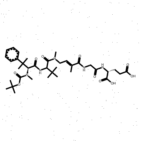 C/C(=C\CN(C)C(=O)C(NC(=O)[C@@H](N(C)C(=O)OC(C)(C)C)C(C)(C)c1ccccc1)C(C)(C)C)C(=O)NCC(=O)N[C@H](CCC(=O)O)C(=O)O